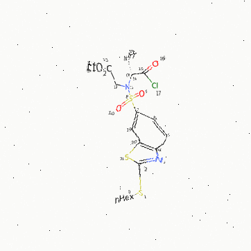 CCCCCCSc1nc2ccc(S(=O)(=O)N(CC(=O)OCC)[C@@H](C(=O)Cl)C(C)C)cc2s1